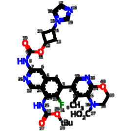 Cc1c(-c2cc3cc(NC(=O)OC4CC(n5ccnc5)C4)ncc3c(NC(=O)OC(C)(C)C)c2F)cnc2c1N(C(=O)O)CCO2